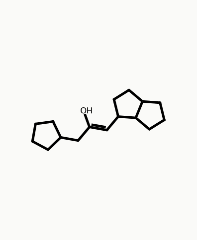 OC(=CC1CCC2CCCC12)CC1CCCC1